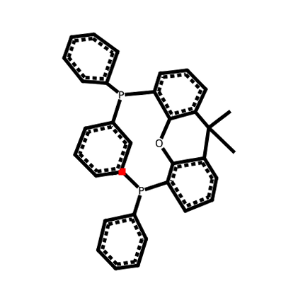 CCP(c1ccccc1)c1cccc2c1Oc1c(P(c3ccccc3)c3ccccc3)cccc1C2(C)C